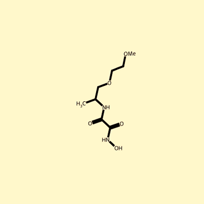 COCCOCC(C)NC(=O)C(=O)NO